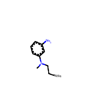 CNCCN(C)c1cccc(N)c1